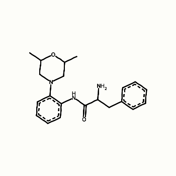 CC1CN(c2ccccc2NC(=O)C(N)Cc2ccccc2)CC(C)O1